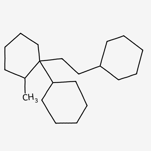 CC1CCCCC1(CCC1CCCCC1)C1CCCCC1